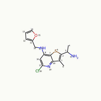 Cc1c(C(C)N)sc2c(NCc3ccco3)cc(Cl)nc12